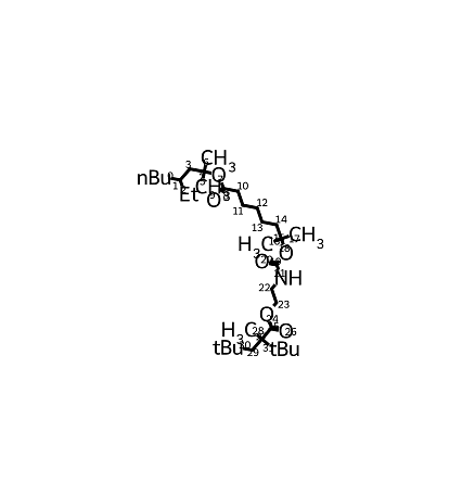 CCCCC(CC)CC(C)(C)OC(=O)CCCCCC(C)(C)OC(=O)NCCOC(=O)C(C)(CC(C)(C)C)C(C)(C)C